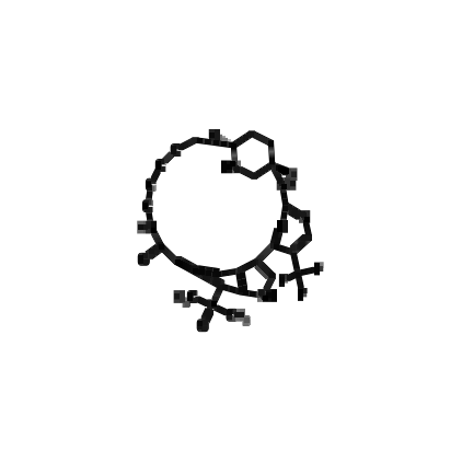 CP(C)(=O)c1c2ccc3c(c[nH]c13)-c1nc(ncc1C(F)(F)F)N[C@H]1CC[C@H](CCCCCNC2=O)NC1